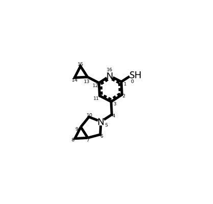 Sc1cc(CN2CC3CC3C2)cc(C2CC2)n1